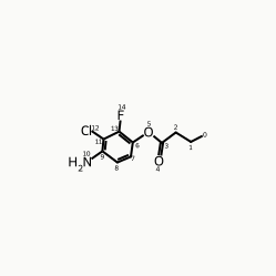 CCCC(=O)Oc1ccc(N)c(Cl)c1F